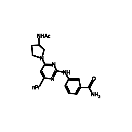 CCCc1cc(N2CCC(NC(C)=O)C2)nc(Nc2cccc(C(N)=O)c2)n1